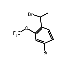 CC(Br)c1ccc(Br)cc1OC(F)(F)F